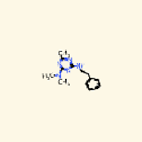 Cc1nc(NCCc2ccccc2)nc(N(C)C)n1